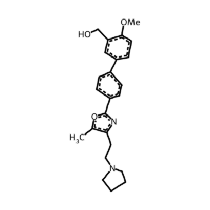 COc1ccc(-c2ccc(-c3nc(CCN4CCCC4)c(C)o3)cc2)cc1CO